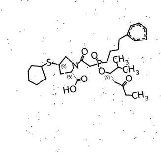 CCC(=O)C[C@H](OP(=O)(CCCCc1ccccc1)CC(=O)N1C[C@H](SC2CCCCC2)C[C@H]1C(=O)O)C(C)C